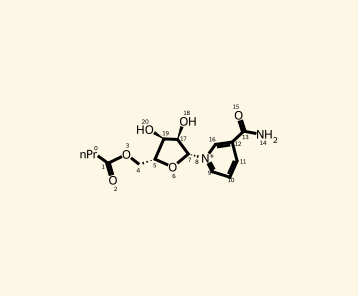 CCCC(=O)OC[C@H]1O[C@@H]([n+]2cccc(C(N)=O)c2)[C@H](O)[C@@H]1O